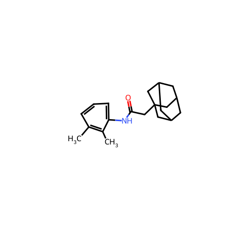 Cc1cccc(NC(=O)CC23CC4CC(CC(C4)C2)C3)c1C